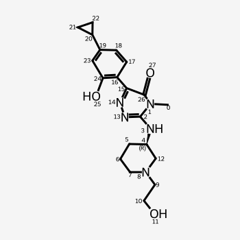 Cn1c(N[C@@H]2CCCN(CCO)C2)nnc(-c2ccc(C3CC3)cc2O)c1=O